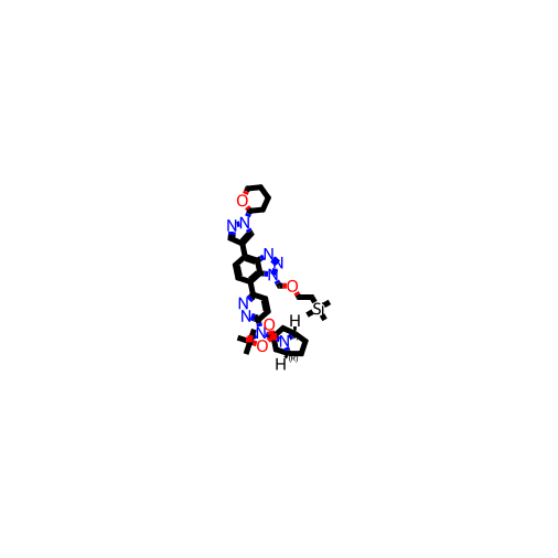 CN(c1ccc(-c2ccc(-c3cnn(C4CCCCO4)c3)c3nnn(COCC[Si](C)(C)C)c23)nn1)C1C[C@H]2CC[C@@H](C1)N2C(=O)OC(C)(C)C